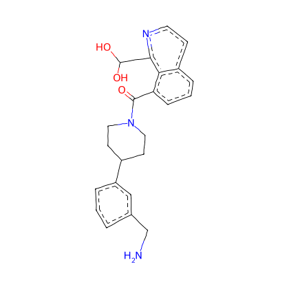 NCc1cccc(C2CCN(C(=O)c3cccc4ccnc(C(O)O)c34)CC2)c1